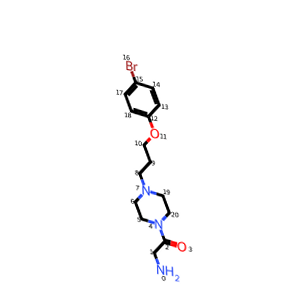 NCC(=O)N1CCN(CCCOc2ccc(Br)cc2)CC1